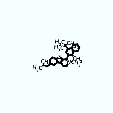 Cc1c(-c2c3sc4ccc(CC(C)C)cc4c3cc[n+]2C)cc(C(C)(C)C)c2ccccc12